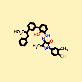 CC1=NN(c2ccc(C)c(C)c2)C(=O)/C1=N\Nc1cccc(-c2cccc(C(Cc3ccccc3)C(=O)O)c2)c1O